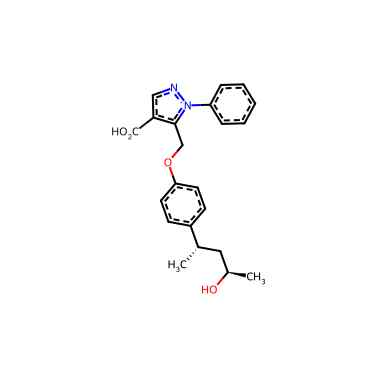 C[C@@H](O)C[C@H](C)c1ccc(OCc2c(C(=O)O)cnn2-c2ccccc2)cc1